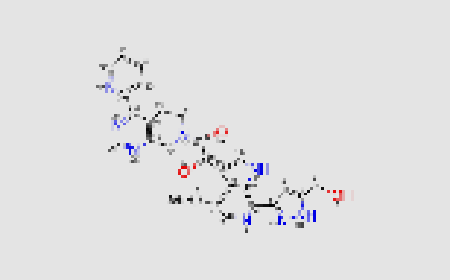 COc1cnc(-c2cc(CO)[nH]n2)c2[nH]cc(C(=O)C(=O)N3CCc4c(ncnc4-c4ccccn4)C3)c12